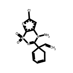 C=CC1(C2=NS(=O)(=O)c3sc(Cl)cc3N2N)C=CC=CC1